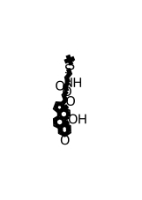 CC(C)(C)SSCCNC(=O)OCC(=O)C1CCC2C3CCC4=CC(=O)C=CC4(C)C3C(O)CC12C